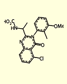 COc1cccc(-n2c(C(C)NC(=O)O)nc3cccc(Cl)c3c2=O)c1C